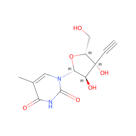 C#C[C@]1(O)[C@@H](CO)O[C@@H](n2cc(C)c(=O)[nH]c2=O)[C@@H]1O